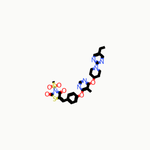 CCc1cnc(N2CCC(Oc3ncnc(Oc4ccc(C=C5SC(=O)N(S(C)(=O)=O)C5=O)cc4)c3C)CC2)nc1